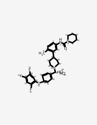 Cc1ccc(NC(=O)N2C[CH]CCC2)cc1C1CCN(Cc2ccc(Oc3cc(F)c(F)cc3F)cc2)CC1.Cl.Cl